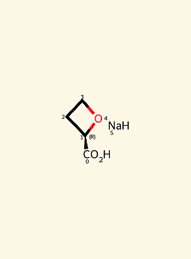 O=C(O)[C@H]1CCO1.[NaH]